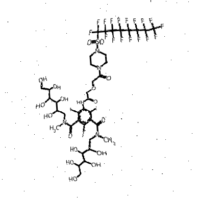 CN(CC(O)C(O)C(O)C(O)CO)C(=O)c1c(I)c(NC(=O)COCC(=O)N2CCN(S(=O)(=O)C(F)(F)C(F)(F)C(F)(F)C(F)(F)C(F)(F)C(F)(F)C(F)(F)C(F)(F)F)CC2)c(I)c(C(=O)N(C)CC(O)C(O)C(O)C(O)CO)c1I